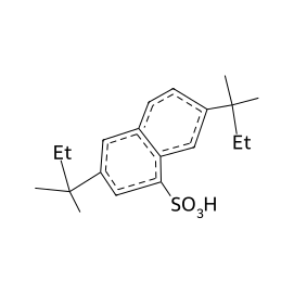 CCC(C)(C)c1cc(S(=O)(=O)O)c2cc(C(C)(C)CC)ccc2c1